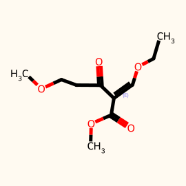 CCO/C=C(\C(=O)CCOC)C(=O)OC